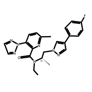 CCN(C(=O)c1nc(C)ccc1-n1nccn1)[C@@H](C)Cn1cc(-c2ccc(F)cc2)cn1